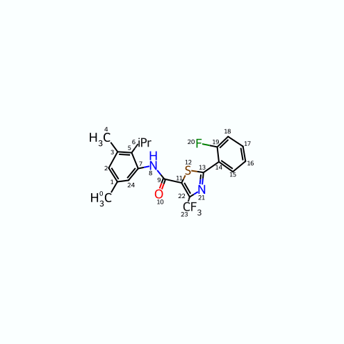 Cc1cc(C)c(C(C)C)c(NC(=O)c2sc(-c3ccccc3F)nc2C(F)(F)F)c1